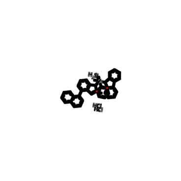 CC1=Cc2c(-c3cccc4ccccc34)cccc2[CH]1[Zr]([CH3])(=[SiH2])([c]1ccccc1)[CH]1c2ccccc2-c2ccccc21.Cl.Cl